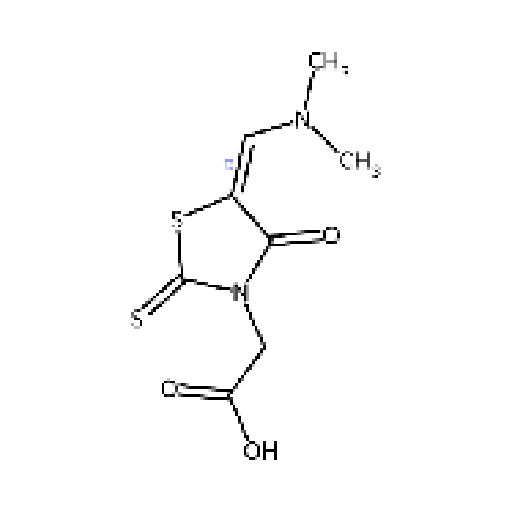 CN(C)/C=C1/SC(=S)N(CC(=O)O)C1=O